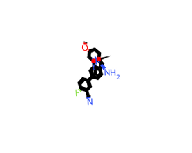 COC1CCC23Cc4ccc(-c5ccc(F)c(C#N)c5)cc4C2(C1)CN(C)C(N)=N3